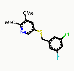 COc1cc(SCc2cc(F)cc(Cl)c2)cnc1OC